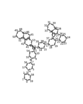 c1ccc(-c2ccc(-c3ccc(N(c4ccc(-c5ccc(-c6ccccc6-c6cc7ccccc7o6)cc5)cc4)c4ccc5c(ccc6ccccc65)c4)cc3)cc2)cc1